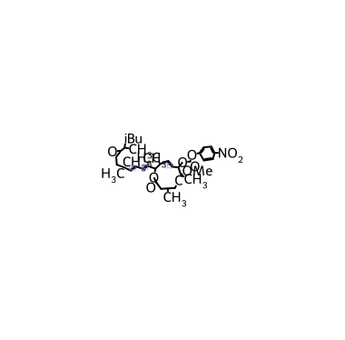 CCC(C)C(C)C1OC1CC(C)(C)/C=C/C=C(\C)C1OC(=O)CC(C)CCC(C)(OC)C(OC(=O)Oc2ccc([N+](=O)[O-])cc2)/C=C/C1C